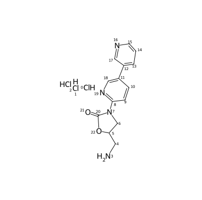 Cl.Cl.Cl.NCC1CN(c2ccc(-c3cccnc3)cn2)C(=O)O1